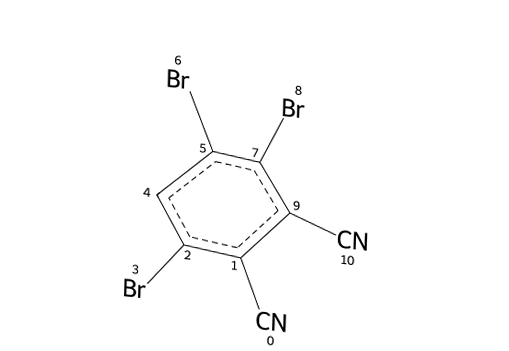 N#Cc1c(Br)cc(Br)c(Br)c1C#N